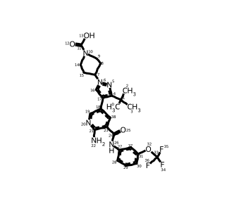 CC(C)(C)c1nn(C2CCN(C(=O)O)CC2)cc1-c1cnc(N)c(C(=O)Nc2cccc(OC(F)(F)F)c2)c1